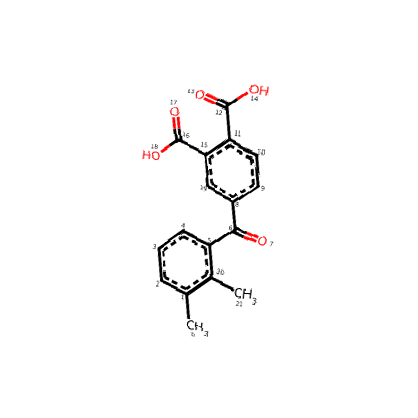 Cc1cccc(C(=O)c2ccc(C(=O)O)c(C(=O)O)c2)c1C